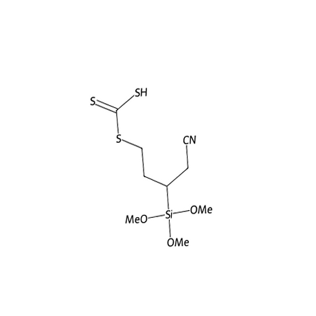 CO[Si](OC)(OC)C(CC#N)CCSC(=S)S